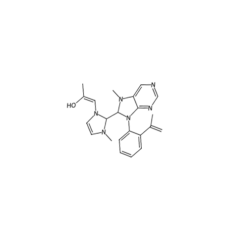 C=C(C)c1ccccc1N1c2ncncc2N(C)C1C1N(C)C=CN1/C=C(/C)O